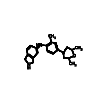 Cc1cc(N2CC(C)OC(C)C2)ccc1Nc1ccc2c(c1)CNC2